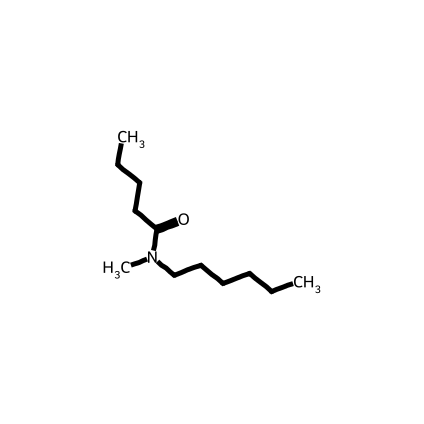 CCCCCCN(C)C(=O)CCCC